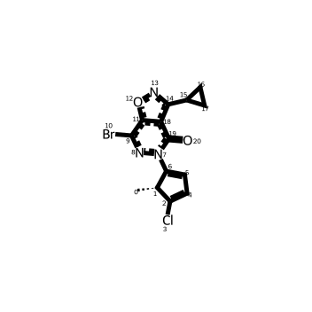 C[C@H]1C(Cl)=CC=C1n1nc(Br)c2onc(C3CC3)c2c1=O